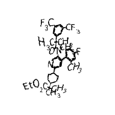 CCOC(=O)C(C)(C)[C@H]1CC[C@@H](c2cc(-c3ccc(F)cc3C)c(N(C)C(=O)C(C)(C)c3cc(C(F)(F)F)cc(C(F)(F)F)c3)cn2)CC1